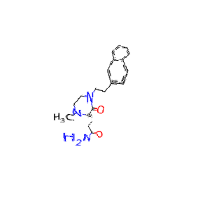 CN1CCN(CCc2ccc3ccccc3c2)C(=O)[C@@H]1CCC(N)=O